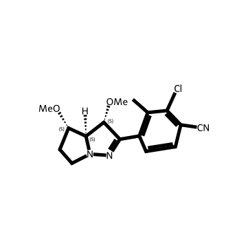 CO[C@H]1CCN2N=C(c3ccc(C#N)c(Cl)c3C)[C@@H](OC)[C@H]12